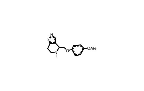 COc1ccc(OCC2NCCc3sncc32)cc1